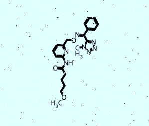 COCCCCC(=O)Nc1cccc(CO/N=C(/c2ccccc2)c2nnnn2C)n1